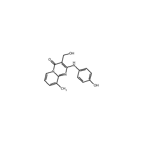 Cc1cccn2c(=O)c(CO)c(Nc3ccc(O)cc3)nc12